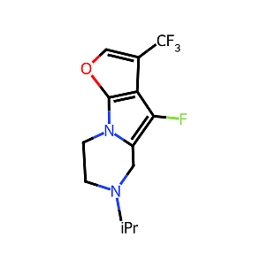 CC(C)N1CCn2c(c(F)c3c(C(F)(F)F)coc32)C1